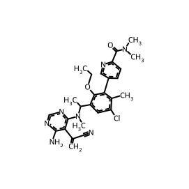 C=C(C#N)c1c(N)ncnc1N(C)C(C)c1cc(Cl)c(C)c(-c2ccc(C(=O)N(C)C)nc2)c1OCC